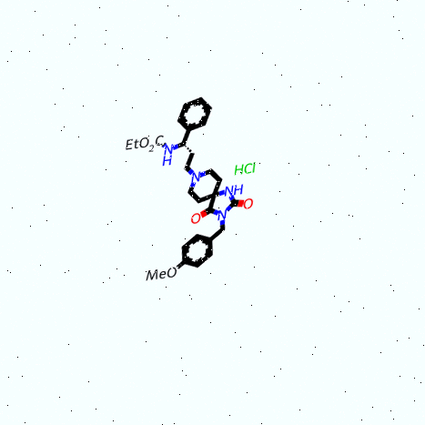 CCOC(=O)N[C@@H](CCN1CCC2(CC1)NC(=O)N(Cc1ccc(OC)cc1)C2=O)c1ccccc1.Cl